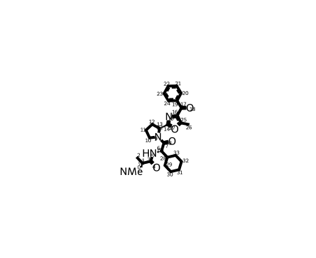 CN[C@@H](C)C(=O)N[C@H](C(=O)N1CCC[C@H]1c1nc(C(=O)c2ccccc2)c(C)o1)C1CCCCC1